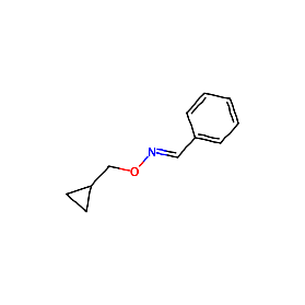 C(=N\OCC1CC1)/c1ccccc1